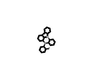 Fc1ccccc1B1c2ccccc2-n2c3ccccc3c3cccc1c32